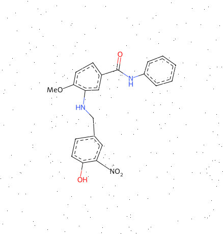 COc1ccc(C(=O)Nc2ccccc2)cc1NCc1ccc(O)c([N+](=O)[O-])c1